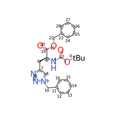 CC(C)(C)OC(=O)N[C@@H](Cc1cn(Cc2ccccc2)nn1)C(=O)OCc1ccccc1